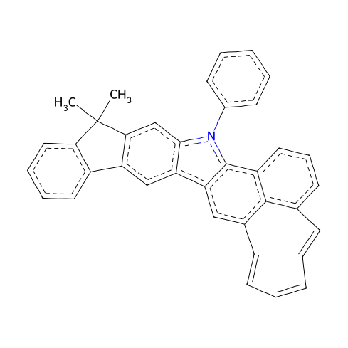 CC1(C)c2ccccc2-c2cc3c4cc5c6c(cccc6c4n(-c4ccccc4)c3cc21)/C=C/C=C\C=C\5